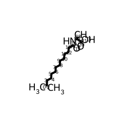 CC(C)CCCCCCCCCCCC(=O)N[C@@H](C)C(=O)O